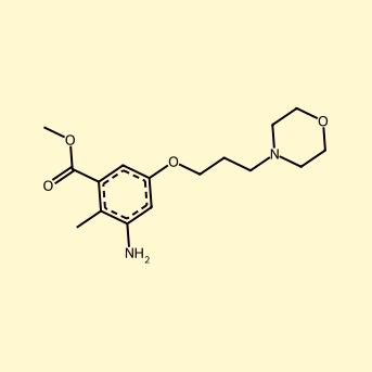 COC(=O)c1cc(OCCCN2CCOCC2)cc(N)c1C